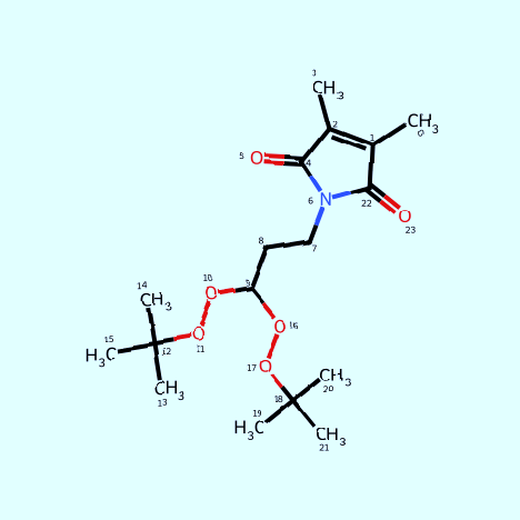 CC1=C(C)C(=O)N(CCC(OOC(C)(C)C)OOC(C)(C)C)C1=O